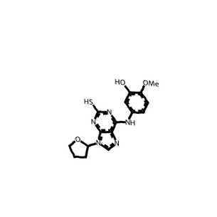 COc1ccc(Nc2nc(S)nc3c2ncn3C2CCCO2)cc1O